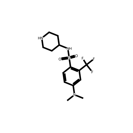 CN(C)c1ccc(S(=O)(=O)NC2CCNCC2)c(C(F)(F)F)c1